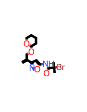 C=C(COC1CCCCO1)c1cc(NC(=O)C(C)(C)Br)on1